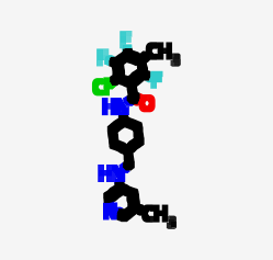 Cc1cncc(NCC2CCC(NC(=O)c3c(F)c(C)c(F)c(F)c3Cl)CC2)c1